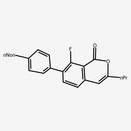 CCCCCCCCCc1ccc(-c2ccc3cc(CCC)oc(=O)c3c2F)cc1